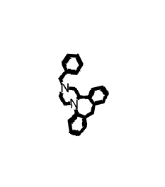 c1ccc(CN2CCN3c4ccccc4Cc4ccccc4C3C2)cc1